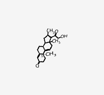 CC1CC2C3CCC4=CC(=O)CC[C@]4(C)C3=CCC2(C)C1C(=O)CO